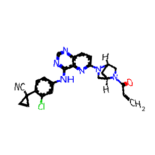 C=CC(=O)N1C[C@@H]2C[C@H]1CN2c1ccc2ncnc(Nc3ccc(C4(C#N)CC4)c(Cl)c3)c2n1